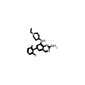 CCN1CCC(Nc2cc(-c3c(C)cccc3F)cc3cnc(N)nc23)CC1